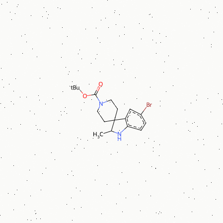 CC1Nc2ccc(Br)cc2C12CCN(C(=O)OC(C)(C)C)CC2